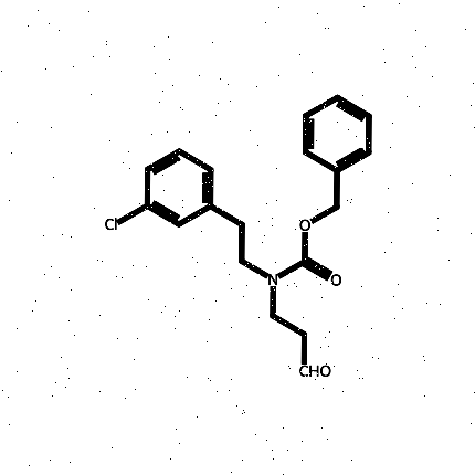 O=CCCN(CCc1cccc(Cl)c1)C(=O)OCc1ccccc1